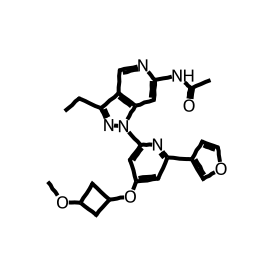 CCc1nn(-c2cc(OC3CC(OC)C3)cc(-c3ccoc3)n2)c2cc(NC(C)=O)ncc12